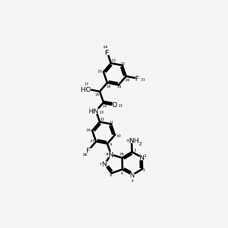 Nc1ncnc2cnn(-c3ccc(NC(=O)C(O)c4cc(F)cc(F)c4)cc3F)c12